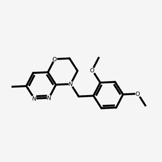 COc1ccc(CN2CCOc3cc(C)nnc32)c(OC)c1